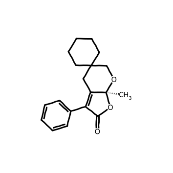 C[C@@]12OCC3(CCCCC3)CC1=C(c1ccccc1)C(=O)O2